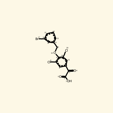 O=C(O)C(=O)c1cc(Cl)c(OCc2cccc(Br)c2)c(Cl)c1